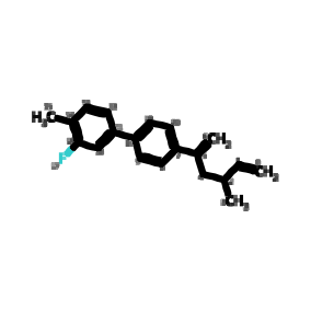 C=CC(C)CC(=C)c1ccc(-c2ccc(C)c(F)c2)cc1